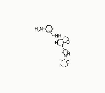 Nc1cccc(CNc2ncc(-c3cnn(C4CCCCO4)c3)c3c2CCO3)c1